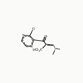 CCOC(=O)/C(=C\N(C)C)C(=O)c1nccnc1Cl